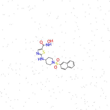 O=C(NO)c1cnc(NC2CCN(S(=O)(=O)c3ccc4ccccc4c3)CC2)s1